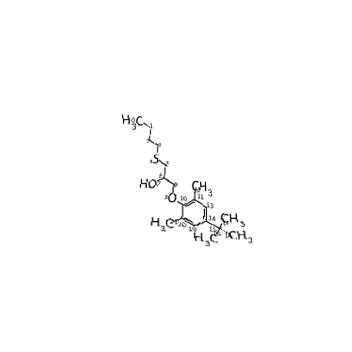 CCCCSCC(O)COc1c(C)cc(C(C)(C)C)cc1C